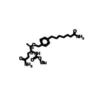 C[C@@H](OCc1ccc(CCCCCCC(N)=O)cc1)[C@H](CCC(N)=O)NC(=O)OC(C)(C)C